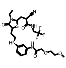 CCN1C(=O)C(CCNc2cccc(NC(=O)COCCOC)c2)SC1CC(C#N)C(=O)NCC(F)(F)F